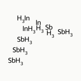 [InH3].[InH3].[InH3].[SbH3].[SbH3].[SbH3].[SbH3].[SbH3]